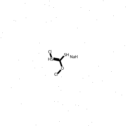 SC(OCl)=[SH]Cl.[NaH]